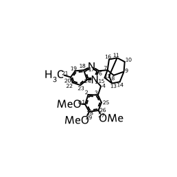 COc1cc(Cn2c(C34CC5CC(CC(C5)C3)C4)nc3cc(C)ccc32)cc(OC)c1OC